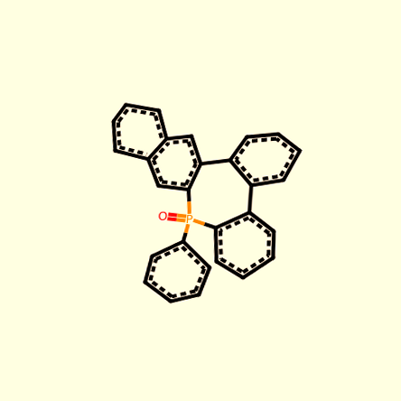 O=P1(c2ccccc2)c2ccccc2-c2ccccc2-c2cc3ccccc3cc21